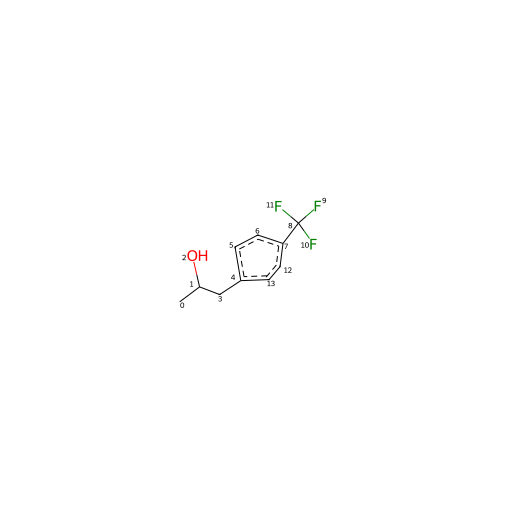 CC(O)Cc1ccc(C(F)(F)F)cc1